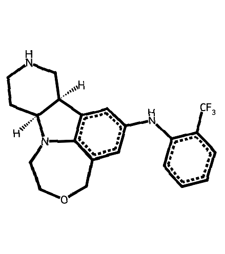 FC(F)(F)c1ccccc1Nc1cc2c3c(c1)[C@@H]1CNCC[C@@H]1N3CCOC2